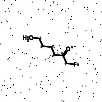 CCCCCC(=O)CF